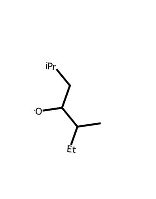 CCC(C)C([O])CC(C)C